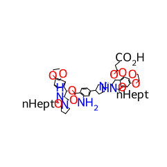 CCCCCCCC(=O)N[C@H](CN1CCC(c2ccc(C(=O)O[C@H](c3ccc4c(c3)OCCO4)[C@@H](CN3CCCC3)NC(=O)CCCCCCC)c(N)c2)C1)[C@H](OC(=O)CCC(=O)O)c1ccc2c(c1)OCCO2